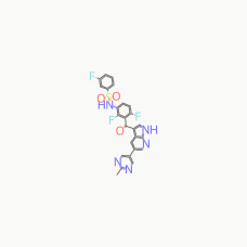 Cc1ncc(-c2cnc3[nH]cc(C(=O)c4c(F)ccc(NS(=O)(=O)c5cccc(F)c5)c4F)c3c2)cn1